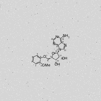 COc1ccccc1OC[C@H]1O[C@@H](n2cnc3c(N)ncnc32)[C@H](O)[C@@H]1O